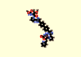 COC(=O)N[C@H](C(=O)N1CCCC1c1ncc(-c2ccc(-c3ccc(-c4cnc([C@@H]5CCCN5C(=O)[C@H](Cc5ccccn5)OC(N)=O)[nH]4)cc3)cc2)[nH]1)[C@@H](C)OC